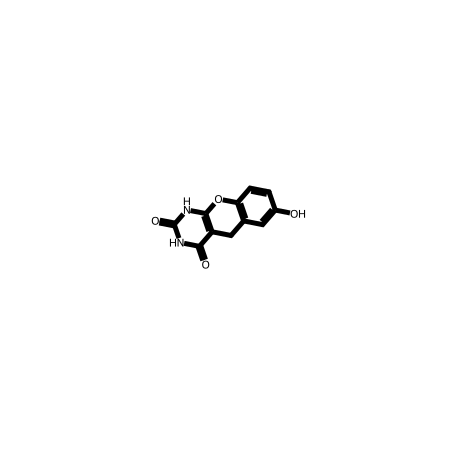 O=c1[nH]c2c(c(=O)[nH]1)Cc1cc(O)ccc1O2